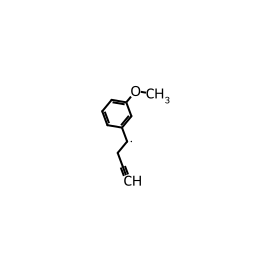 C#CC[CH]c1cccc(OC)c1